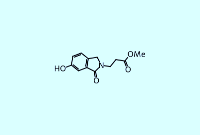 COC(=O)CCN1Cc2ccc(O)cc2C1=O